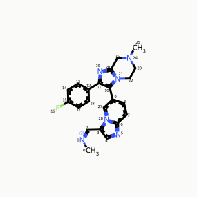 C/N=C\c1cnc2ccc(-c3c(-c4ccc(F)cc4)nc4n3CCN(C)C4)cn12